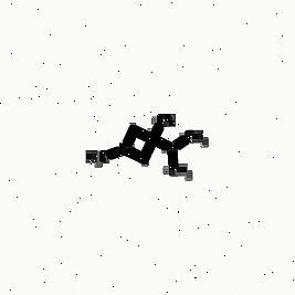 CN1CC(C#N)(N(C)C)C1